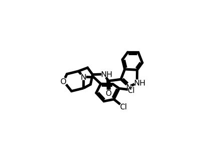 O=C(NC1CC2COCC(C1)N2Cc1ccc(Cl)c(Cl)c1)c1n[nH]c2ccccc12